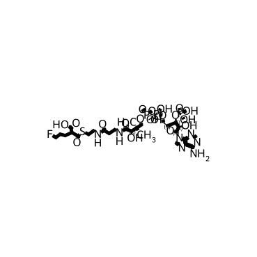 CC(C)(COP(=O)(O)OP(=O)(O)OC[C@H]1O[C@@H](n2cnc3c(N)ncnc32)[C@H](O)[C@@H]1OP(=O)(O)O)[C@@H](O)C(=O)NCCC(=O)NCCSC(=O)C(CCCF)C(=O)O